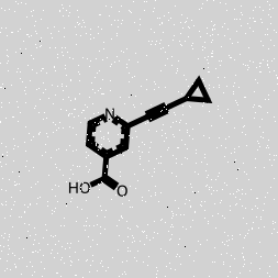 O=C(O)c1ccnc(C#CC2CC2)c1